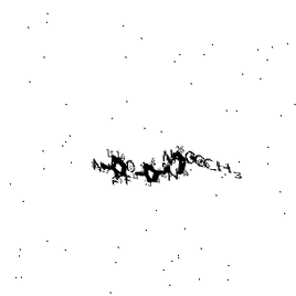 CCOc1cnc(-c2ccc(COc3ccc(C#N)c(F)c3F)cc2)nc1